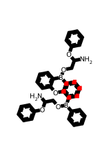 NC(COB(c1ccccc1)c1ccccc1Oc1ccccc1B(OCC(N)Oc1ccccc1)c1ccccc1)Oc1ccccc1